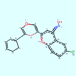 ON=c1cc(C2=COC=C(C3=CC=CCC3)O2)oc2ccc(Cl)cc12